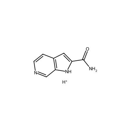 NC(=O)c1cc2ccncc2[nH]1.[H+]